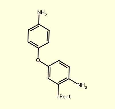 CCCCCc1cc(Oc2ccc(N)cc2)ccc1N